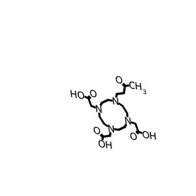 CC(=O)CCN1CCN(CC(=O)O)CCN(CC(=O)O)CCN(CC(=O)O)CC1